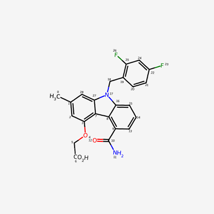 Cc1cc(OCC(=O)O)c2c3c(C(N)=O)cccc3n(Cc3ccc(F)cc3F)c2c1